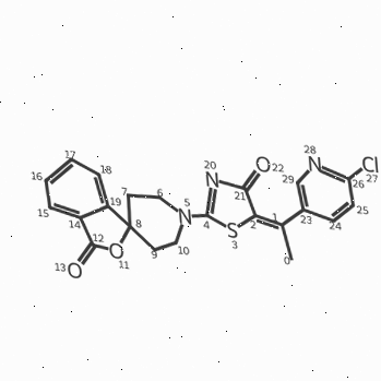 CC(=C1SC(N2CCC3(CC2)OC(=O)c2ccccc23)=NC1=O)c1ccc(Cl)nc1